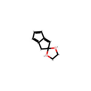 C1=CC2=CC3(CC2=C1)OCCO3